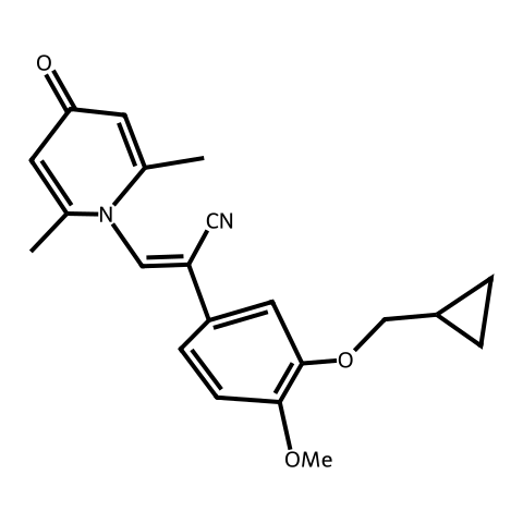 COc1ccc(C(C#N)=Cn2c(C)cc(=O)cc2C)cc1OCC1CC1